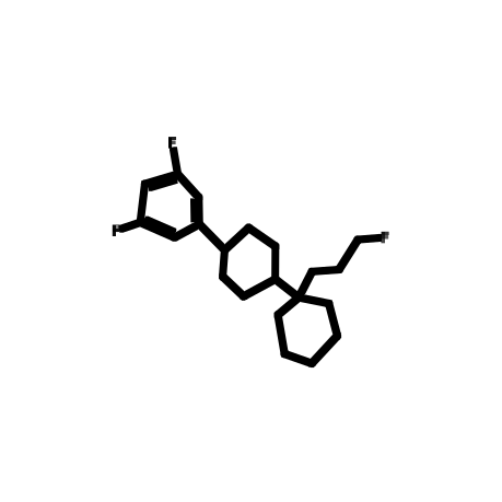 FCCCC1(C2CCC(c3cc(F)cc(F)c3)CC2)CCCCC1